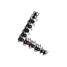 Cc1cc[o+]c2ccccc12.Cc1cc[o+]c2ccccc12.Cc1cc[o+]c2ccccc12.Cc1cc[o+]c2ccccc12.Cc1cc[o+]c2ccccc12.Cc1cc[o+]c2ccccc12.Cc1cc[o+]c2ccccc12.Cc1cc[o+]c2ccccc12.[O-]B([O-])F.[O-]B([O-])F.[O-]B([O-])F.[O-]B([O-])F